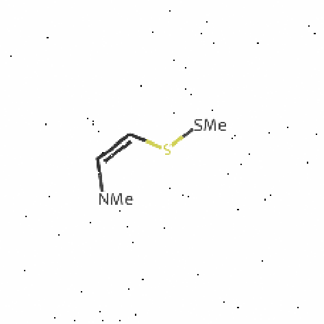 CN/C=C\SSC